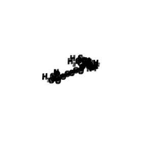 CC(C)N(C)[C@@H]1CC[C@H](N2CC[C@H](Nc3ncnc4ccc(C(F)(F)F)cc34)C2=O)[C@H](NC2CCN(C(=O)CCOCCOCCOCCOCCNC(=O)[C@H]3CC(=O)N(C)[C@@H]3c3cccnc3)CC2)C1